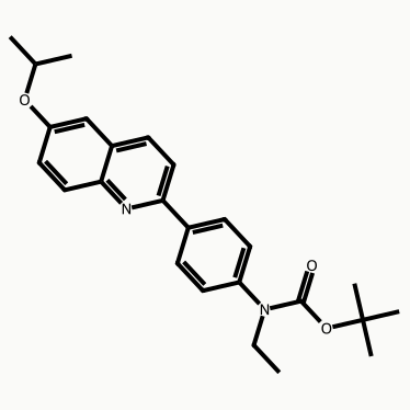 CCN(C(=O)OC(C)(C)C)c1ccc(-c2ccc3cc(OC(C)C)ccc3n2)cc1